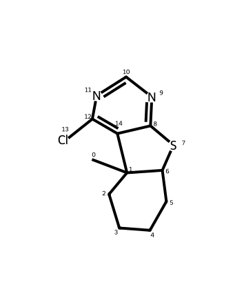 CC12CCCCC1Sc1ncnc(Cl)c12